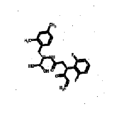 C=CC(=O)N(CC(=O)N[C@@H](Cc1ccc(C)cc1C)B(O)O)c1c(F)cccc1F